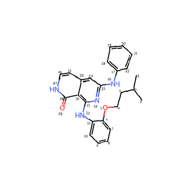 CC(C)CCOc1ccccc1Nc1nc(Nc2ccccc2)cc2cc[nH]c(=O)c12